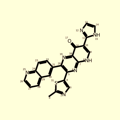 Cc1ncc(-c2nc3[nH]cc(-c4ncc[nH]4)c(=O)c3nc2-c2ccc3ncccc3c2)s1